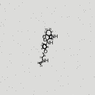 O=C(Nc1cccc(OCCCNC2CC2)c1)c1c[nH]c2c1C(=O)CCCC2